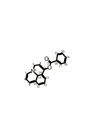 O=C(OC1=CCN2C=CC=C3C=CC=C1C32)c1ccccc1